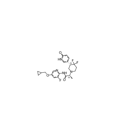 C[C@@H](C(=O)Nc1ncc(OCC2CC2)cc1F)N1CCC(F)(F)[C@@H](c2ccc(=O)[nH]c2)C1